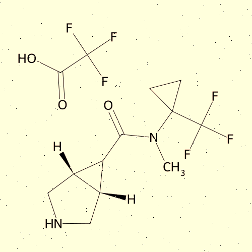 CN(C(=O)C1[C@H]2CNC[C@@H]12)C1(C(F)(F)F)CC1.O=C(O)C(F)(F)F